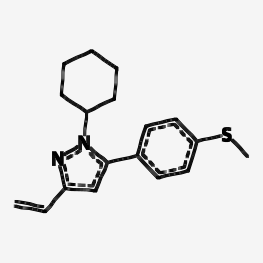 C=Cc1cc(-c2ccc(SC)cc2)n(C2CCCCC2)n1